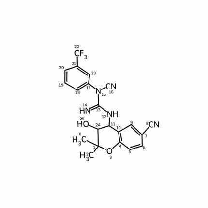 CC1(C)Oc2ccc(C#N)cc2C(NC(=N)N(C#N)c2cccc(C(F)(F)F)c2)C1O